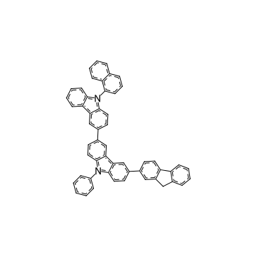 c1ccc(-n2c3ccc(-c4ccc5c(c4)Cc4ccccc4-5)cc3c3cc(-c4ccc5c(c4)c4ccccc4n5-c4cccc5ccccc45)ccc32)cc1